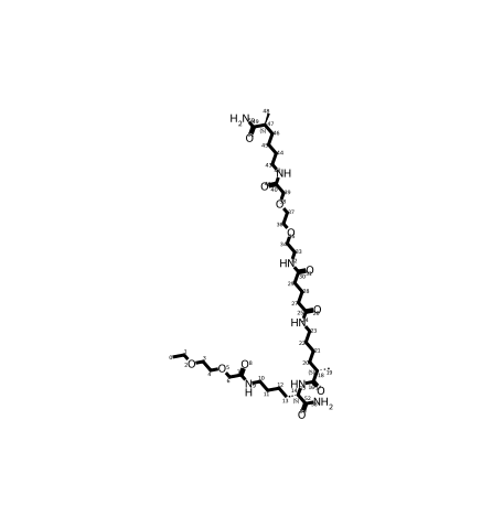 CCOCCOCC(=O)NCCCC[C@H](NC(=O)[C@@H](C)CCCCNC(=O)CCCC(=O)NCCOCCOCC(=O)NCCCC[C@H](C)C(N)=O)C(N)=O